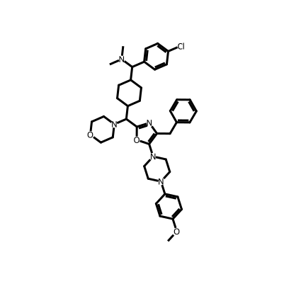 COc1ccc(N2CCN(c3oc(C(C4CCC(C(c5ccc(Cl)cc5)N(C)C)CC4)N4CCOCC4)nc3Cc3ccccc3)CC2)cc1